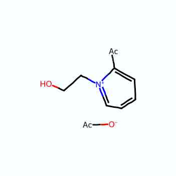 CC(=O)[O-].CC(=O)c1cccc[n+]1CCO